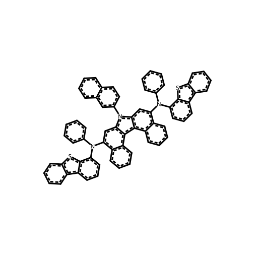 c1ccc(N(c2cc3c(c4ccccc24)c2c4ccccc4c(N(c4ccccc4)c4cccc5c4sc4ccccc45)cc2n3-c2ccc3ccccc3c2)c2cccc3c2sc2ccccc23)cc1